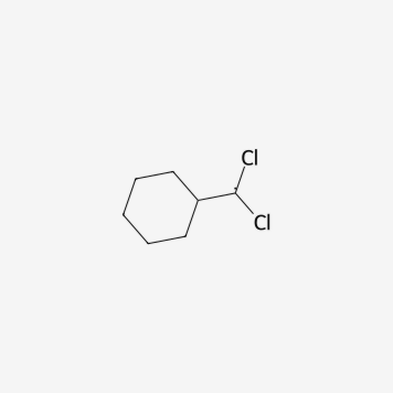 Cl[C](Cl)C1CCCCC1